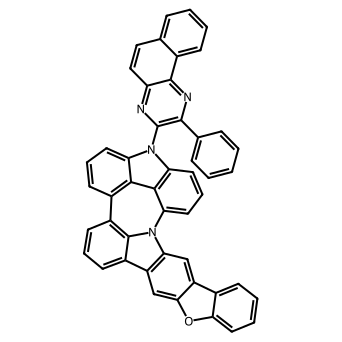 c1ccc(-c2nc3c(ccc4ccccc43)nc2-n2c3cccc4c5cccc6c7cc8oc9ccccc9c8cc7n(c7cccc2c7c43)c56)cc1